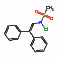 CS(=O)(=O)N(Cl)C=C(c1ccccc1)c1ccccc1